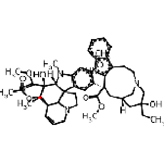 CCC12C=CCN3CC[C@@]4(c5cc([C@@]6(C(=O)OC)C[C@@H]7CN(CCc8c6[nH]c6ccccc86)C[C@](O)(CC)C7)c(OC)cc5N(C)[C@H]4[C@@](O)(C(=O)OC)[C@@H]1OC(C)=O)C32